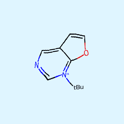 CC(C)(C)[n+]1cncc2ccoc21